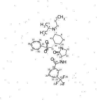 CCCN(C(C)C)[C@@H]1CC[C@H](N2CC[C@H](NC(=O)c3cccc(C(F)(F)F)c3)C2=O)[C@H](CS(=O)(=O)c2ccccc2)C1